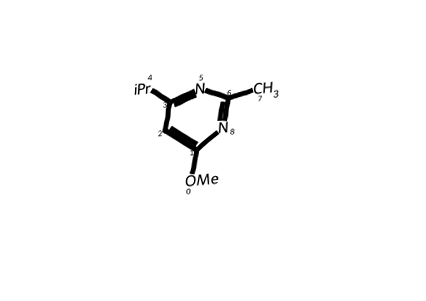 COc1cc(C(C)C)nc(C)n1